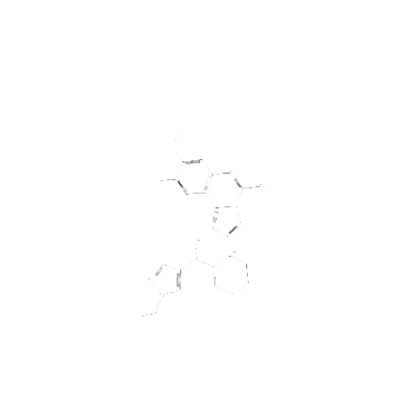 CCn1cc(C(O)C2CCCC[C@H]2c2nc3c4cc(F)c(OC)cc4nc(N)n3n2)cn1